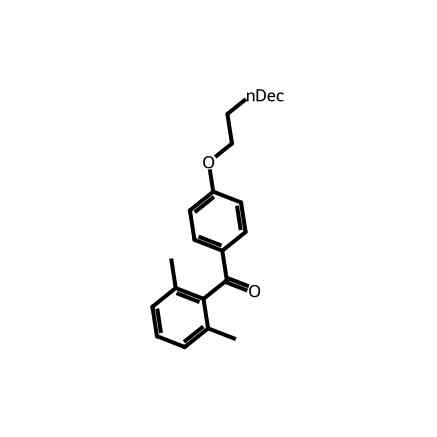 CCCCCCCCCCCCOc1ccc(C(=O)c2c(C)cccc2C)cc1